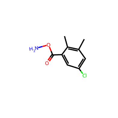 Cc1cc(Cl)cc(C(=O)ON)c1C